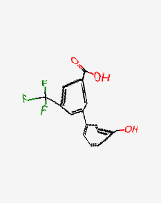 O=C(O)c1cc(-c2cccc(O)c2)cc(C(F)(F)F)c1